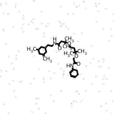 C=C1CC(C)CC(CCNC(=O)CC(C)(C)OCCC(C)(C)OCC(=O)NC2=CC=CCC2)C1